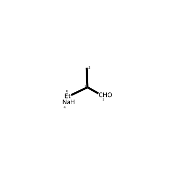 CCC(C)C=O.[NaH]